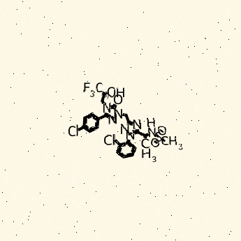 CC(NS(C)(=O)=O)c1nc(Cn2nc(-c3ccc(Cl)cc3)n(C[C@H](O)C(F)(F)F)c2=O)nn1-c1ccccc1Cl